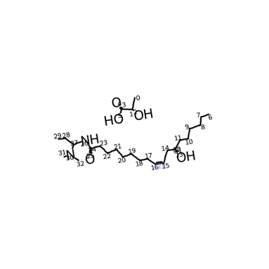 CC(O)C(=O)O.CCCCCC[C@@H](O)C/C=C\CCCCCCCC(=O)NC(CC)N(C)C